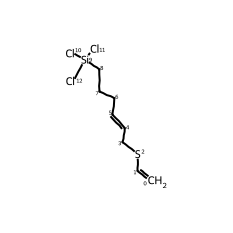 C=CSCC=CCCC[Si](Cl)(Cl)Cl